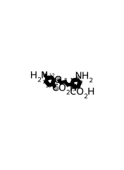 Nc1ccc(C(=O)O)c(CCCOc2cc(N)ccc2C(=O)O)c1